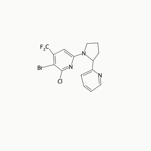 FC(F)(F)c1cc(N2CCCC2c2ccccn2)nc(Cl)c1Br